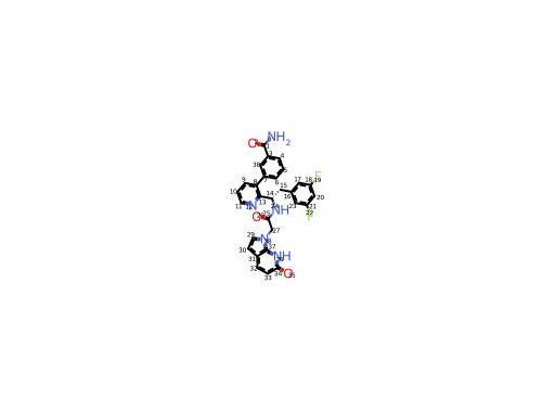 NC(=O)c1cccc(-c2cccnc2[C@H](Cc2cc(F)cc(F)c2)NC(=O)Cn2ccc3ccc(=O)[nH]c32)c1